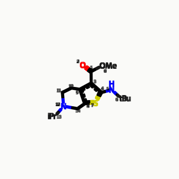 COC(=O)c1c(NC(C)(C)C)sc2c1CCN(C(C)C)C2